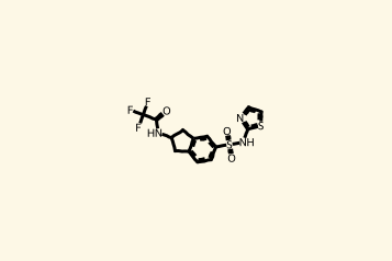 O=C(NC1Cc2ccc(S(=O)(=O)Nc3nccs3)cc2C1)C(F)(F)F